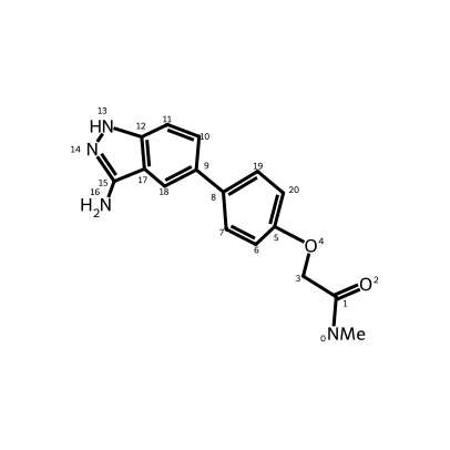 CNC(=O)COc1ccc(-c2ccc3[nH]nc(N)c3c2)cc1